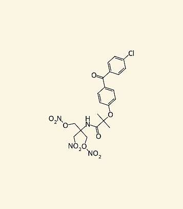 CC(C)(Oc1ccc(C(=O)c2ccc(Cl)cc2)cc1)C(=O)NC(CO[N+](=O)[O-])(CO[N+](=O)[O-])C[N+](=O)[O-]